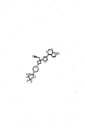 C[C@@H](NC(=O)N1CCN(C2CC(CC#N)(n3cc(-c4ncnc5[nH]ccc45)cn3)C2)CC1)C(F)(F)F